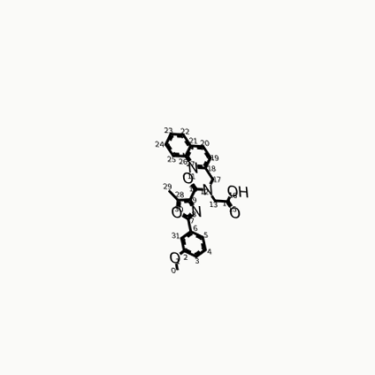 COc1cccc(-c2nc(C(=O)N(CC(=O)O)Cc3ccc4ccccc4n3)c(C)o2)c1